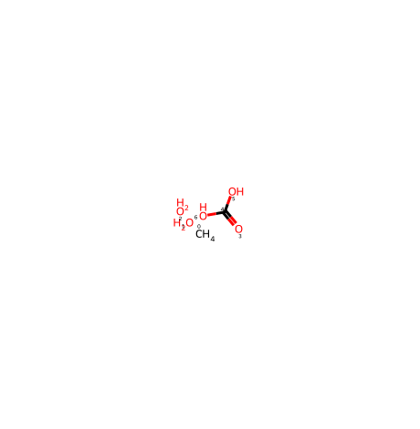 C.O.O.O=C(O)O